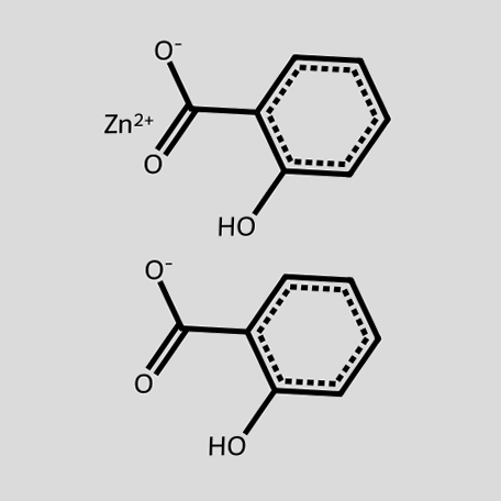 O=C([O-])c1ccccc1O.O=C([O-])c1ccccc1O.[Zn+2]